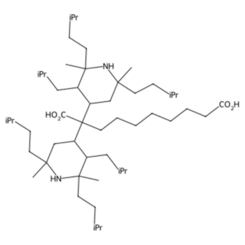 CC(C)CCC1(C)CC(C(CCCCCCCC(=O)O)(C(=O)O)C2CC(C)(CCC(C)C)NC(C)(CCC(C)C)C2CC(C)C)C(CC(C)C)C(C)(CCC(C)C)N1